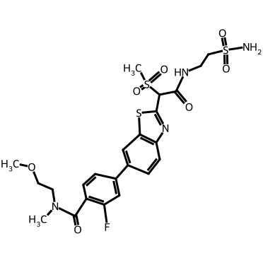 COCCN(C)C(=O)c1ccc(-c2ccc3nc(C(C(=O)NCCS(N)(=O)=O)S(C)(=O)=O)sc3c2)cc1F